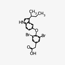 CCC(C)c1c[nH]c2ccc(Oc3c(Br)cc(CC(=O)O)cc3Br)cc12